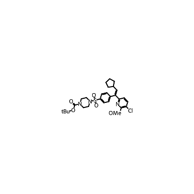 COc1nc(C(=CC2CCCC2)c2ccc(S(=O)(=O)N3CCN(C(=O)OC(C)(C)C)CC3)cc2)ccc1Cl